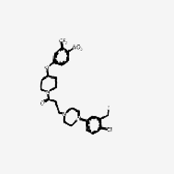 O=C(CCN1CCN(c2ccc(Cl)c(CF)c2)CC1)N1CCC(Oc2ccc([N+](=O)[O-])c(C(F)(F)F)c2)CC1